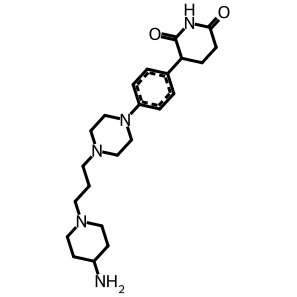 NC1CCN(CCCN2CCN(c3ccc(C4CCC(=O)NC4=O)cc3)CC2)CC1